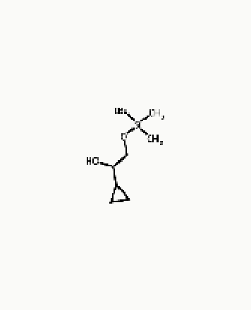 CC(C)(C)[Si](C)(C)OCC(O)C1CC1